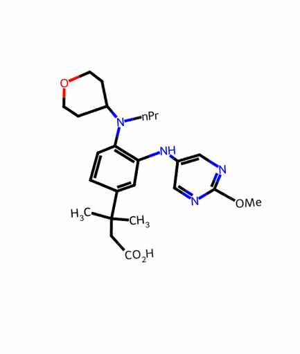 CCCN(c1ccc(C(C)(C)CC(=O)O)cc1Nc1cnc(OC)nc1)C1CCOCC1